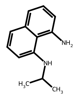 CC(C)Nc1cccc2cccc(N)c12